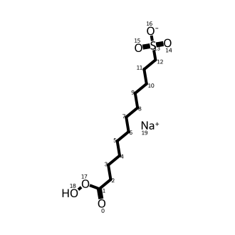 O=C(CCCCCCCCCCCS(=O)(=O)[O-])OO.[Na+]